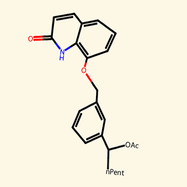 CCCCCC(OC(C)=O)c1cccc(COc2cccc3ccc(=O)[nH]c23)c1